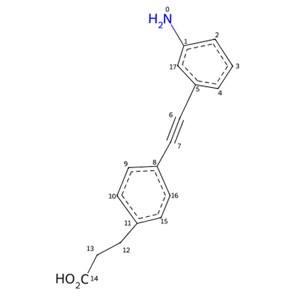 Nc1cccc(C#Cc2ccc(CCC(=O)O)cc2)c1